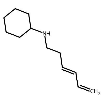 C=CC=CCCNC1CCCCC1